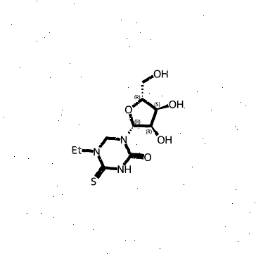 CCN1CN([C@@H]2O[C@H](CO)[C@@H](O)[C@H]2O)C(=O)NC1=S